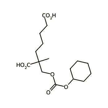 CC(CCCCC(=O)O)(COC(=O)OC1CCCCC1)C(=O)O